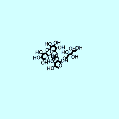 O=C[C@H](O)[C@@H](O)[C@@H](O)CO.OC1OC[C@@H](O)[C@H](O)[C@H]1O.OC[C@H]1O[C@H](O[C@H]2[C@H](O)[C@@H](O)[C@H](O)O[C@@H]2CO)[C@H](O)[C@@H](O)[C@@H]1O